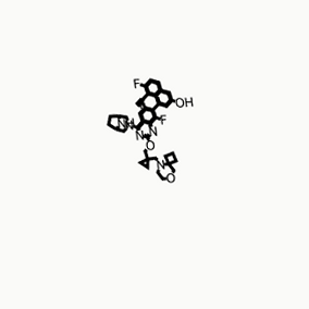 C#Cc1c(F)ccc2cc(O)cc(-c3c(F)cc4c(N5CC6CCC(C5)N6)nc(OCC5(CN6CCOCC67CCC7)CC5)nc4c3F)c12